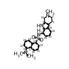 CN1CCc2c([nH]c3c(NS(=O)(=O)c4cccc5c(N(C)C)cccc45)cccc23)C1